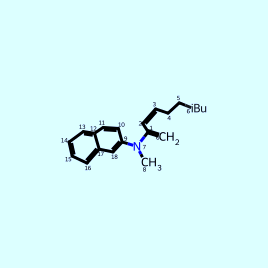 C=C(/C=C\CCC(C)CC)N(C)c1ccc2ccccc2c1